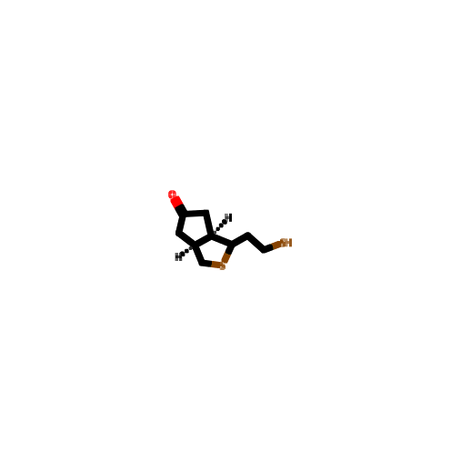 O=C1C[C@@H]2CSC(CCS)[C@@H]2C1